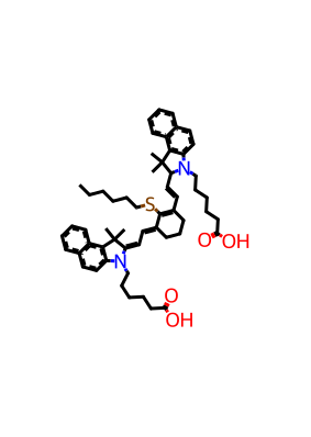 CCCCCCSC1=C(C=CC2N(CCCCCC(=O)O)c3ccc4ccccc4c3C2(C)C)CCCC1=CC=C1N(CCCCCC(=O)O)c2ccc3ccccc3c2C1(C)C